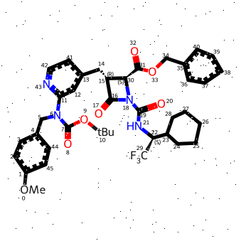 COc1ccc(CN(C(=O)OC(C)(C)C)c2cc(C[C@H]3C(=O)N(C(=O)N[C@@H](C4CCCCC4)C(F)(F)F)[C@@H]3C(=O)OCc3ccccc3)ccn2)cc1